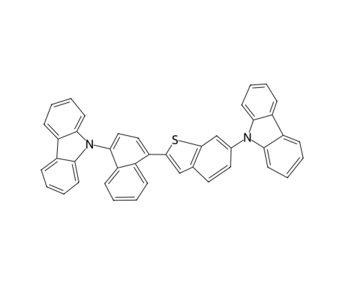 c1ccc2c(-n3c4ccccc4c4ccccc43)ccc(-c3cc4ccc(-n5c6ccccc6c6ccccc65)cc4s3)c2c1